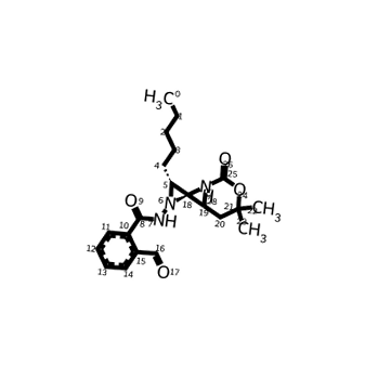 CCCCC[C@H]1N(NC(=O)c2ccccc2C=O)[C@@]12[C@@H]1CC(C)(C)OC(=O)N12